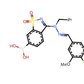 COc1cc(/C=N/N(CC(C)C)C2=NS(=O)(=O)c3cc(B(O)O)ccc32)ccc1F